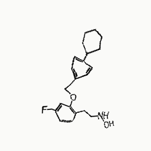 ONCCc1ccc(F)cc1OCc1ccc(C2CCCCC2)cc1